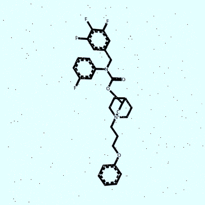 O=C(OC1C[N+]2(CCCOc3ccccc3)CCC1CC2)N(Cc1cc(F)c(F)c(F)c1)c1cccc(F)c1